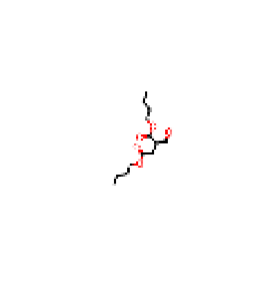 CCCCOC(=O)CC(C=O)C(=O)OCCCC